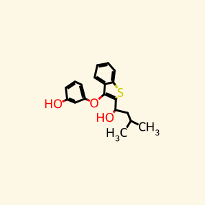 CC(C)CC(O)c1sc2ccccc2c1Oc1cccc(O)c1